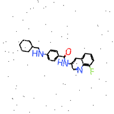 O=C(Nc1cnc2c(F)cccc2c1)c1ccc(NCC2CCCCC2)cc1